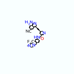 CN1CCN(Cc2ccc(NC(=O)c3cncc(C#Cc4cnc(N)c5ccc(C#N)cc45)c3)cc2C(F)(F)F)CC1